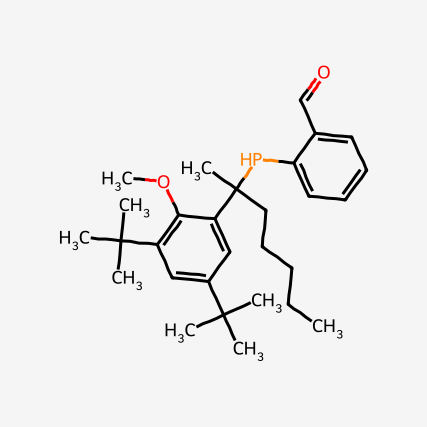 CCCCCC(C)(Pc1ccccc1C=O)c1cc(C(C)(C)C)cc(C(C)(C)C)c1OC